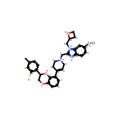 Cc1ccc(C2COc3cccc(C4=CCN(Cc5nc6ccc(C=O)cc6n5CC5CCO5)CC4)c3O2)c(F)c1